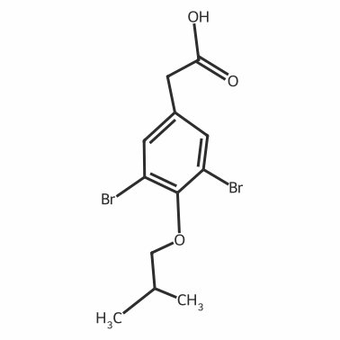 CC(C)COc1c(Br)cc(CC(=O)O)cc1Br